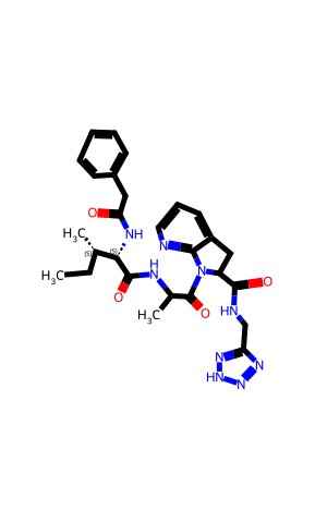 CC[C@H](C)[C@H](NC(=O)Cc1ccccc1)C(=O)NC(C)C(=O)N1c2ncccc2CC1C(=O)NCc1nn[nH]n1